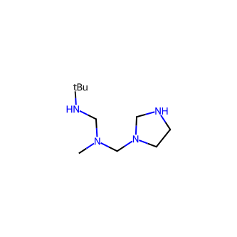 CN(CNC(C)(C)C)CN1CCNC1